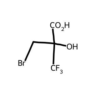 O=C(O)C(O)(CBr)C(F)(F)F